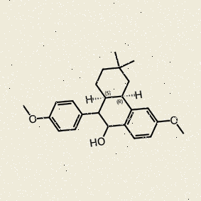 COc1ccc(C2C(O)c3ccc(OC)cc3[C@@H]3CC(C)(C)CC[C@H]23)cc1